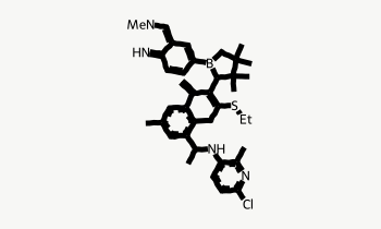 C=C1C(C2B(C3=C/C(=C/NC)C(=N)C=C3)CC(C)(C)C2(C)C)=C(SCC)Cc2c1cc(C)cc2C(C)Nc1ccc(Cl)nc1C